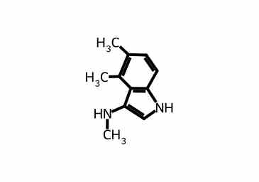 CNc1c[nH]c2ccc(C)c(C)c12